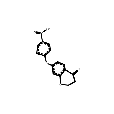 O=C1CCOc2cc(Oc3ccc([N+](=O)[O-])cc3)ccc21